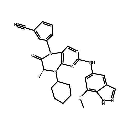 COc1cc(Nc2ncc3c(n2)N(C2CCCCC2)[C@H](C)C(=O)N3c2cccc(C#N)c2)cc2cn[nH]c12